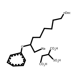 CCCCCCCCCCCCCCCCC([CH2][Na])Oc1ccccc1.O=C(O)CC(C(=O)O)S(=O)(=O)O